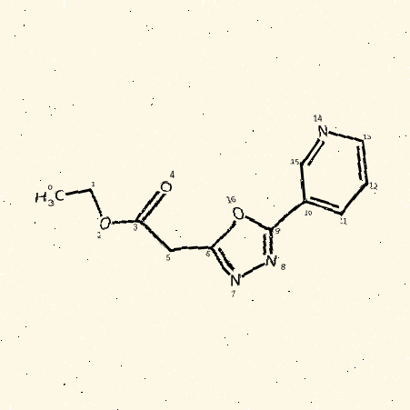 CCOC(=O)Cc1nnc(-c2cccnc2)o1